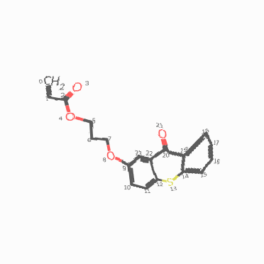 C=CC(=O)OCCCOc1ccc2sc3ccccc3c(=O)c2c1